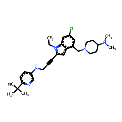 CN(C)C1CCN(Cc2cc(Cl)cc3c2cc(C#CCNc2ccc(C(C)(C)C#N)nc2)n3CC(F)(F)F)CC1